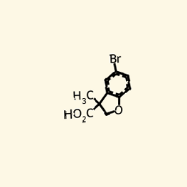 CC1(C(=O)O)COc2ccc(Br)cc21